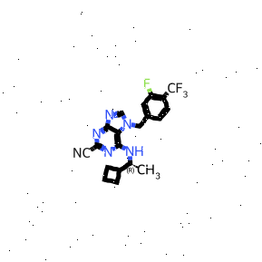 C[C@@H](Nc1nc(C#N)nc2ncn(Cc3ccc(C(F)(F)F)c(F)c3)c12)C1CCC1